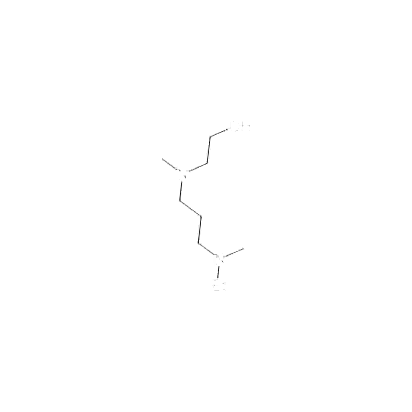 CCN(C)CCCN(C)CCO